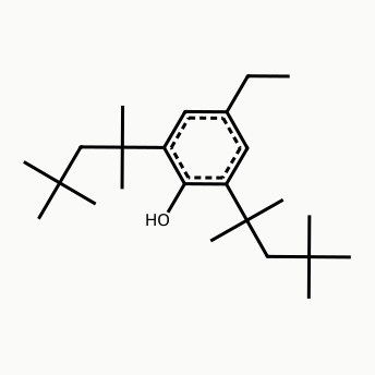 CCc1cc(C(C)(C)CC(C)(C)C)c(O)c(C(C)(C)CC(C)(C)C)c1